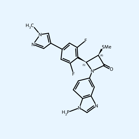 CS[C@H]1C(=O)N(c2ccc3c(c2)ncn3P)[C@H]1c1c(F)cc(-c2cnn(C)c2)cc1F